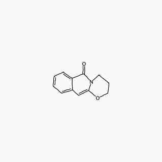 O=c1c2ccccc2cc2n1CCCO2